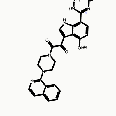 C=C/N=C(\NN)c1ccc(OC)c2c(C(=O)C(=O)N3CCN(c4nccc5ccccc45)CC3)c[nH]c12